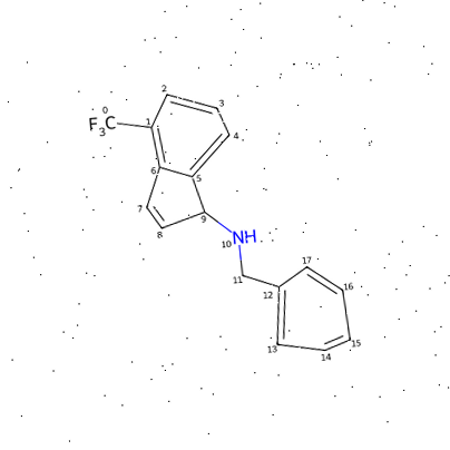 FC(F)(F)c1cccc2c1C=CC2NCc1ccccc1